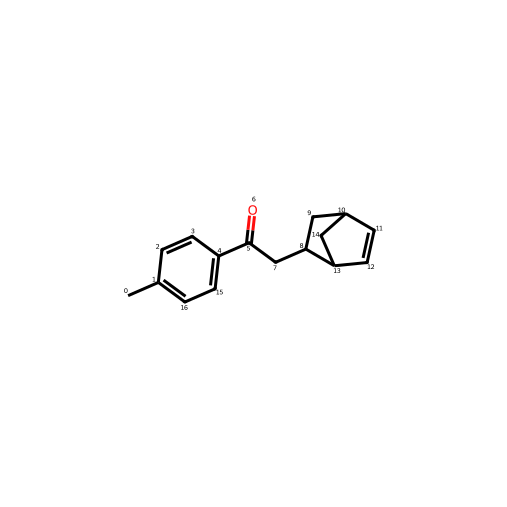 Cc1ccc(C(=O)CC2CC3C=CC2C3)cc1